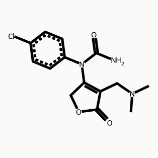 CN(C)CC1=C(N(C(N)=O)c2ccc(Cl)cc2)COC1=O